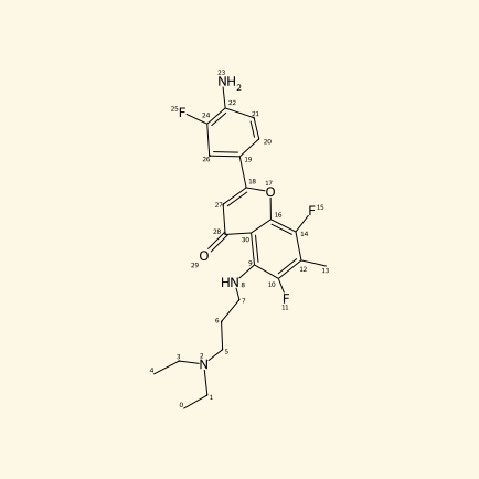 CCN(CC)CCCNc1c(F)c(C)c(F)c2oc(-c3ccc(N)c(F)c3)cc(=O)c12